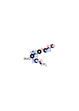 C=CC(=O)N1CCC(Nc2cc3c(Nc4ccc(Oc5ccnc(C(=O)N[C@@H]6CCOC6)c5)cc4F)ncnc3cc2OC)CC1